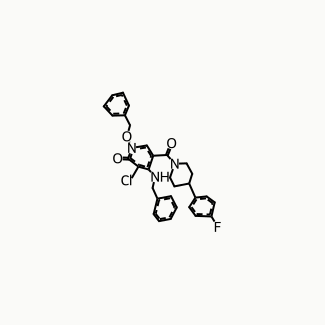 O=C(c1cn(OCc2ccccc2)c(=O)c(Cl)c1NCc1ccccc1)N1CCC(c2ccc(F)cc2)CC1